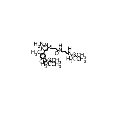 Cc1cc(C)c(-c2cc(SCCC(=O)NCCCNC(=O)OC(C)(C)C)nc(N)n2)cc1C(=O)OC(C)(C)C